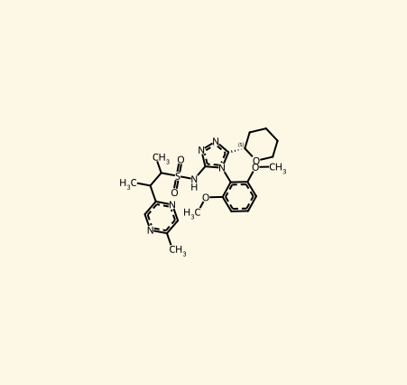 COc1cccc(OC)c1-n1c(NS(=O)(=O)C(C)C(C)c2cnc(C)cn2)nnc1[C@@H]1CCCCO1